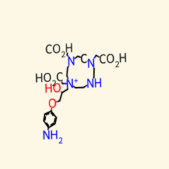 Nc1ccc(OCC(O)C[N+]2(CC(=O)O)CCNCCN(CC(=O)O)CCN(CC(=O)O)CC2)cc1